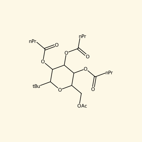 CCCC(=O)OC1C(COC(C)=O)OC(C(C)(C)C)C(OC(=O)CCC)C1OC(=O)CCC